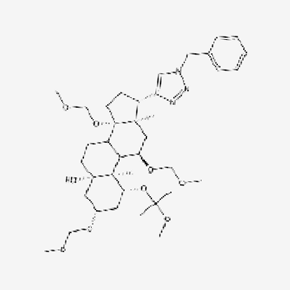 COCO[C@H]1C[C@@H](OC(C)(C)OC)[C@]2(C)C3C(CC[C@]2(O)C1)[C@@]1(OCOC)CC[C@H](c2cn(Cc4ccccc4)nn2)[C@@]1(C)C[C@H]3OCOC